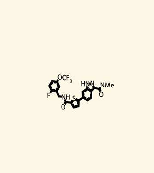 CNC(=O)c1n[nH]c2cc(-c3ccc(C(=O)NCc4cc(OC(F)(F)F)ccc4F)s3)ccc12